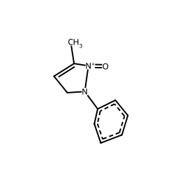 CC1=CCN(c2ccccc2)[N+]1=O